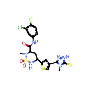 CN1C(C(=O)Nc2ccc(F)c(Cl)c2)CC(c2cc(-c3n[nH]c(=S)n3C)cs2)NS1(=O)=O